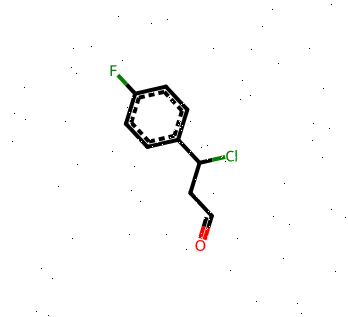 O=CCC(Cl)c1ccc(F)cc1